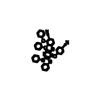 N#Cc1ccc(On2p(Oc3ccc(C#N)c(Oc4ccccc4)c3Oc3ccccc3)npn(Oc3ccccc3)p2Oc2ccccc2)cc1